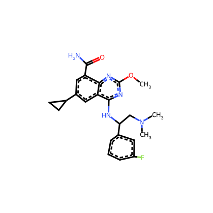 COc1nc(NC(CN(C)C)c2cccc(F)c2)c2cc(C3CC3)cc(C(N)=O)c2n1